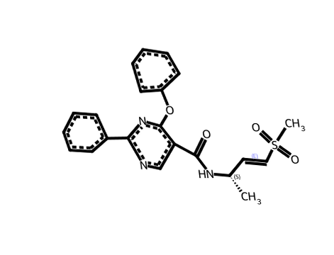 C[C@@H](/C=C/S(C)(=O)=O)NC(=O)c1cnc(-c2ccccc2)nc1Oc1ccccc1